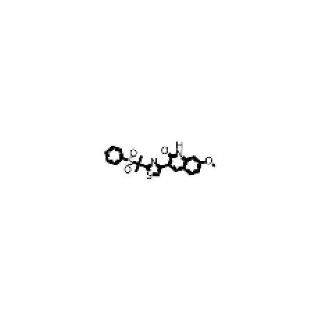 COc1ccc2cc(-c3csc(C(C)(C)S(=O)(=O)c4ccccc4)n3)c(=O)[nH]c2c1